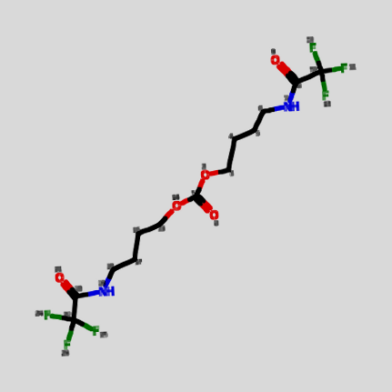 O=C(OCCCCNC(=O)C(F)(F)F)OCCCCNC(=O)C(F)(F)F